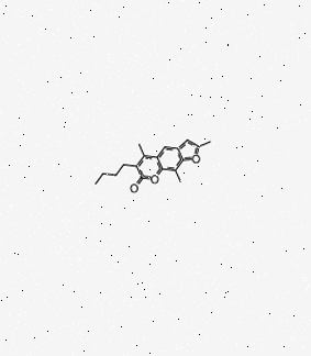 CCCCc1c(C)c2cc3cc(C)oc3c(C)c2oc1=O